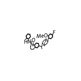 COc1cc(F)ccc1N1CCN(C(C)c2ccc3c(c2)CCCN3C(=O)Nc2ccccc2C)CC1